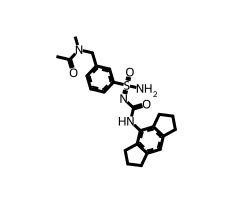 CC(=O)N(C)Cc1cccc(S(N)(=O)=NC(=O)Nc2c3c(cc4c2CCC4)CCC3)c1